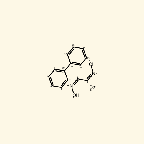 O/N=C\C=N/O.[Co].c1ccc(-c2ccccc2)cc1